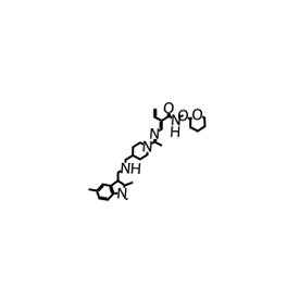 C=C/C(=C\N=C(/C)N1CCC(CNCC2c3cc(C)ccc3N(C)C2C)CC1)C(=O)NOC1CCCCO1